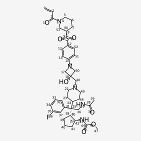 C=CC(=O)N1CCC[C@@H](S(=O)(=O)c2ccc(N3CC(O)(CN4CCC(C(CNC(C)=O)(c5cccc(F)c5)[C@H]5CCC[C@@H]5NC(=O)OC)CC4)C3)cc2)C1